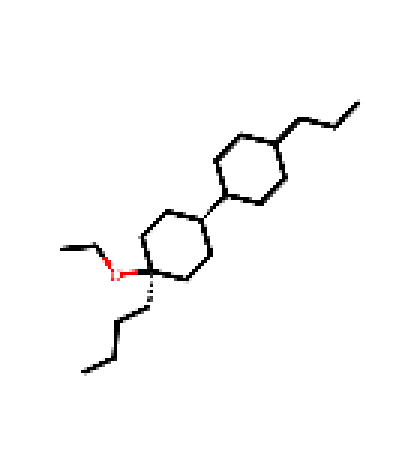 CCCC[C@]1(OCC)CC[C@@H](C2CCC(CCC)CC2)CC1